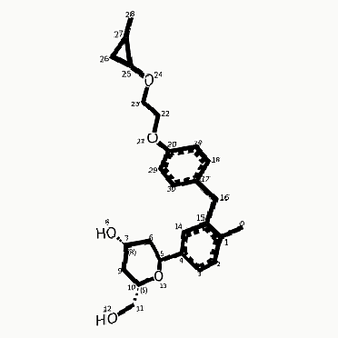 Cc1ccc(C2C[C@@H](O)C[C@@H](CO)O2)cc1Cc1ccc(OCCOC2CC2C)cc1